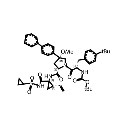 C=C[C@@H]1C[C@]1(NC(=O)[C@@H]1C[C@@](OC)(c2ccc(-c3ccccc3)cc2)CN1C(=O)[C@H](Cc1ccc(C(C)(C)C)cc1)NC(=O)OC(C)(C)C)C(=O)NS(=O)(=O)C1CC1